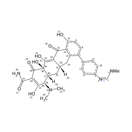 CN/C=N\c1ccc(-c2ccc(O)c3c2C[C@@H]2C[C@@H]4[C@@H](N(C)C)C(O)=C(C(N)=O)C(=O)[C@]4(O)C(O)=C2C3=O)cc1